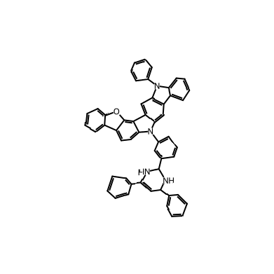 C1=C(c2ccccc2)NC(c2cccc(-n3c4cc5c6ccccc6n(-c6ccccc6)c5cc4c4c5oc6ccccc6c5ccc43)c2)NC1c1ccccc1